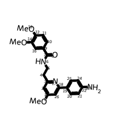 COc1cc(CCNC(=O)c2ccc(OC)c(OC)c2)nc(-c2ccc(N)cc2)c1